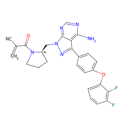 C=C(C#N)C(=O)N1CCC[C@@H]1Cn1nc(-c2ccc(Oc3cccc(F)c3F)cc2)c2c(N)ncnc21